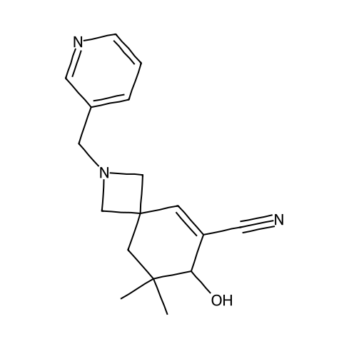 CC1(C)CC2(C=C(C#N)C1O)CN(Cc1cccnc1)C2